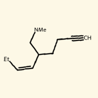 C#CCCC(/C=C\CC)CNC